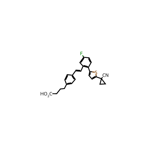 N#CC1(c2ccc(-c3ccc(F)cc3/C=C/c3ccc(CCCC(=O)O)cc3)s2)CC1